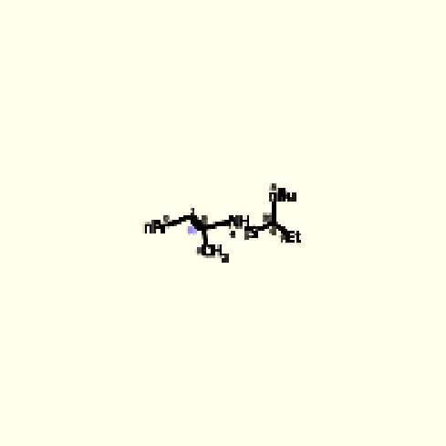 CCC/C=C(\C)NS[C@H](CC)CCCC